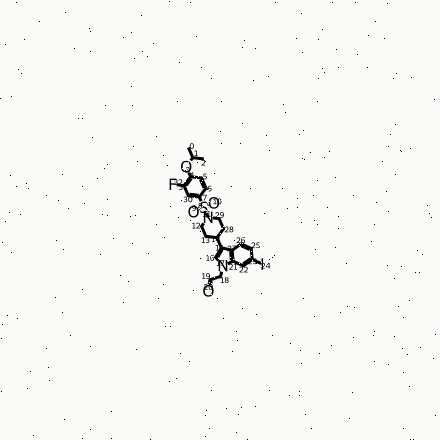 CC(C)Oc1ccc(S(=O)(=O)N2CCC(c3cn(CC=O)c4cc(I)ccc34)CC2)cc1F